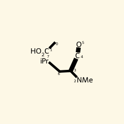 CC(=O)O.CNC(=C=O)CC(C)C